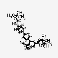 CC(C)(C)OC(=O)N[C@@H]1[C@@H]2CN(c3ccc(-c4cc(B5OC(C)(C)C(C)(C)O5)cn5ncc(C#N)c45)cn3)C[C@@H]21